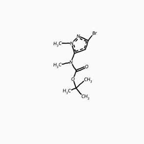 CN(C(=O)OC(C)(C)C)c1cc(Br)nn1C